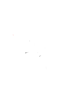 CCC(=O)[C@H]1CC[C@H]2[C@@H]3CC[C@@H]4C[C@H](O)CC[C@]4(C)[C@H]3CC[C@]12C